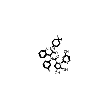 N#Cc1ccnc(N2C(O)[C@H](O)C[C@H]2C(=O)N(c2cccc(F)c2)[C@H](C(=O)NC2CCC(F)(F)CC2)c2ccccc2Cl)n1